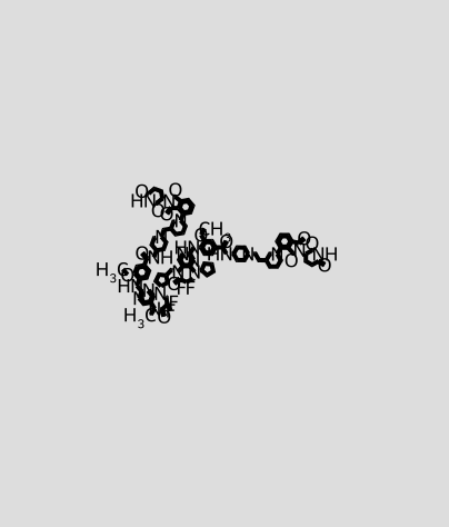 COc1cc(C(=O)NC2CCN(CC3CCCN(c4cccc5c4C(=O)N(C4CCC(=O)NC4=O)C5=O)C3)CC2)ccc1Nc1ncc2c(n1)N(C1CCC(CN3C(=O)C(F)(F)CN(C4CCCC4)c4nc(Nc5ccc(C(=O)NC6CCN(CCC7CCCN(c8cccc9c8C(=O)N(C8CCC(=O)NC8=O)C9=O)C7)CC6)cc5OC)ncc43)C1)CC(F)(F)C(=O)N2C